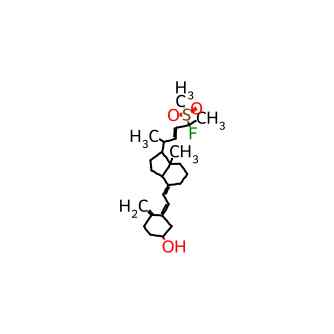 C=C1CCC(O)C/C1=C/C=C1\CCCC2(C)C1CCC2C(C)/C=C/C(C)(F)S(C)(=O)=O